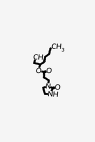 CCCCCC(CC)OC(=O)CCN1CCNC1=O